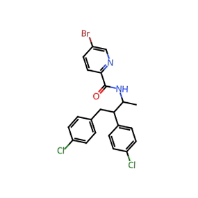 CC(NC(=O)c1ccc(Br)cn1)C(Cc1ccc(Cl)cc1)c1ccc(Cl)cc1